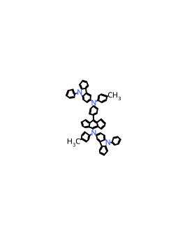 Cc1ccc(N(c2ccc(-c3c4ccccc4c(N(c4ccc(C)cc4)c4ccc5c(c4)c4ccccc4n5-c4ccccc4)c4ccccc34)cc2)c2ccc3c(c2)c2ccccc2n3-c2ccccc2)cc1